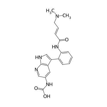 CN(C)C/C=C/C(=O)Nc1ccccc1-c1c[nH]c2ncc(NC(=O)O)cc12